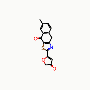 Cc1ccc2c(c1)C(=O)c1sc(C3=CC(=O)CO3)nc1C2